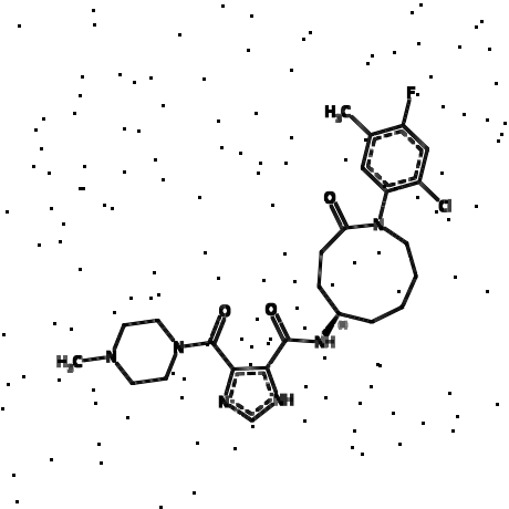 Cc1cc(N2CCCC[C@@H](NC(=O)c3[nH]cnc3C(=O)N3CCN(C)CC3)CCC2=O)c(Cl)cc1F